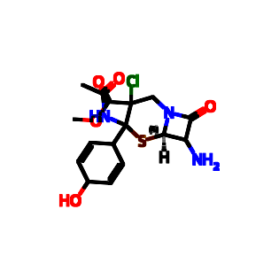 COC(=O)C1(Cl)CN2C(=O)C(N)[C@H]2SC1(NC(C)=O)C1C=CC(O)C=C1